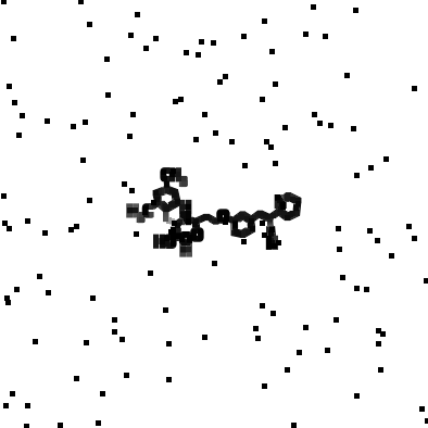 Cc1ccc(C[C@H](NC(=O)CCOc2cccc(C=C(C#N)c3ccccn3)c2)B(O)O)c(C)c1